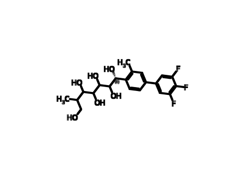 Cc1cc(-c2cc(F)c(F)c(F)c2)ccc1[C@@H](O)C(O)C(O)C(O)C(O)C(C)CO